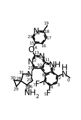 CNc1cc(F)c(F)c2c1[nH]c1nc(Oc3ccc(C)nc3)nc(N3C[C@H](N)C4(CC4)C3)c12